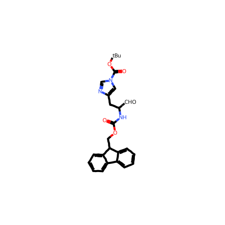 CC(C)(C)OC(=O)n1cnc(CC(C=O)NC(=O)OCC2c3ccccc3-c3ccccc32)c1